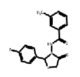 Cc1cccc(C(=O)NN2C(=O)CSC2c2ccc(F)cc2)c1